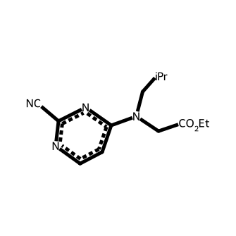 CCOC(=O)CN(CC(C)C)c1ccnc(C#N)n1